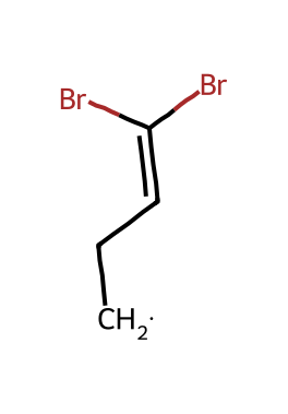 [CH2]CC=C(Br)Br